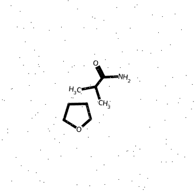 C1CCOC1.CC(C)C(N)=O